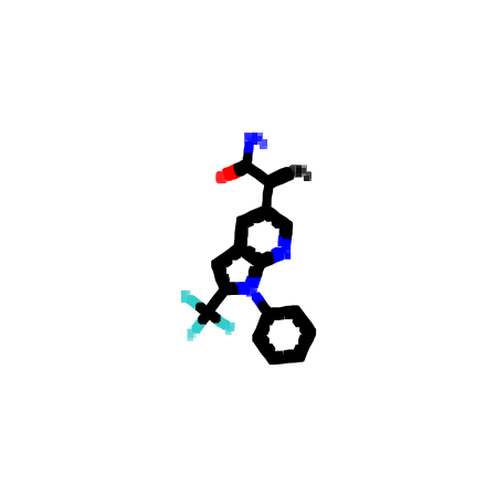 C=C(C(N)=O)c1cnc2c(c1)cc(C(F)(F)F)n2-c1ccccc1